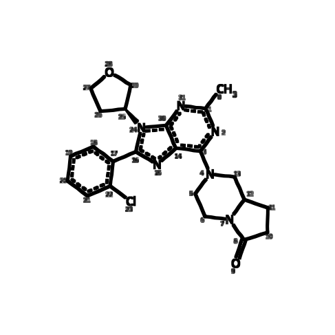 Cc1nc(N2CCN3C(=O)CCC3C2)c2nc(-c3ccccc3Cl)n([C@H]3CCOC3)c2n1